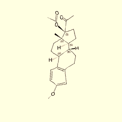 COc1ccc2c(c1)CC[C@@H]1[C@@H]2CC[C@@]2(C)[C@H]1CC[C@@]2(OC(C)=O)C(C)=O